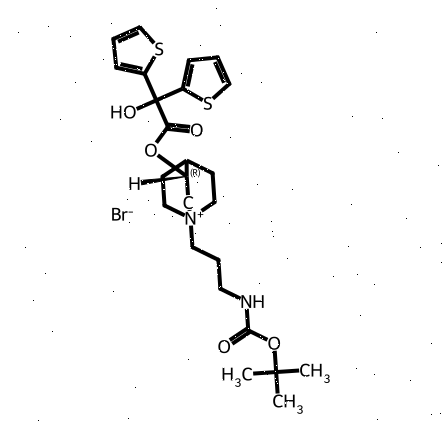 CC(C)(C)OC(=O)NCCC[N+]12CCC(CC1)[C@@H](OC(=O)C(O)(c1cccs1)c1cccs1)C2.[Br-]